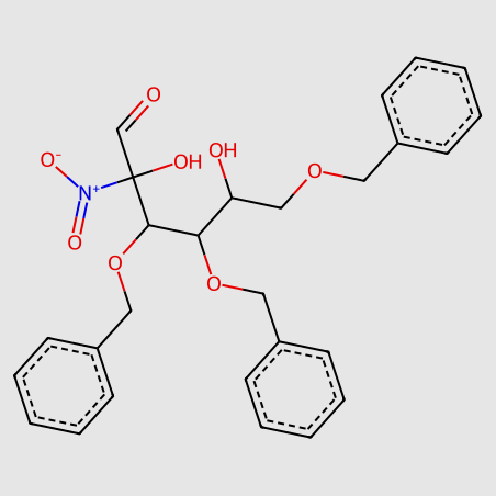 O=CC(O)(C(OCc1ccccc1)C(OCc1ccccc1)C(O)COCc1ccccc1)[N+](=O)[O-]